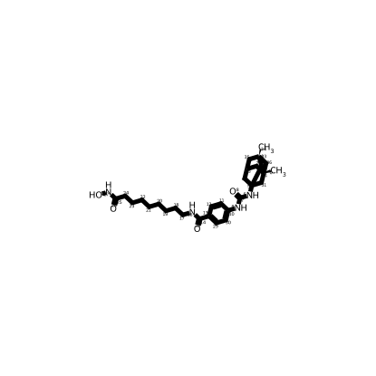 C[C@]12CC3CC(NC(=O)Nc4ccc(C(=O)NCCCCCCCCC(=O)NO)cc4)(C1)C[C@@](C)(C3)C2